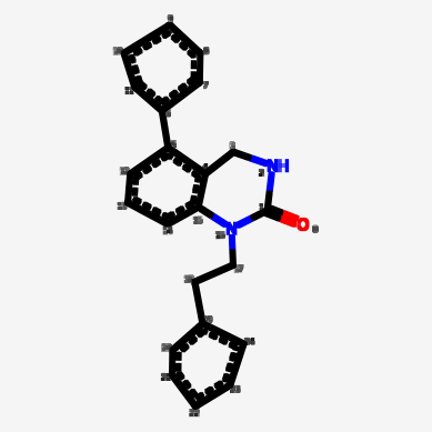 O=C1NCc2c(-c3ccccc3)cccc2N1CCc1ccccc1